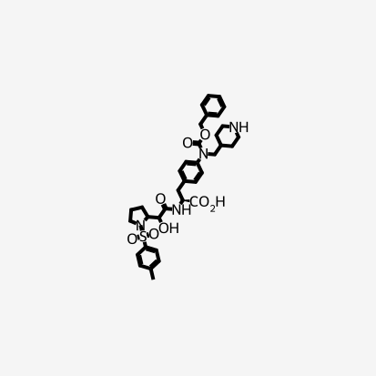 Cc1ccc(S(=O)(=O)N2CCCC2C(O)C(=O)N[C@@H](Cc2ccc(N(CC3CCNCC3)C(=O)OCc3ccccc3)cc2)C(=O)O)cc1